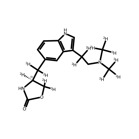 [2H]C([2H])(CN(C([2H])([2H])[2H])C([2H])([2H])[2H])c1c[nH]c2ccc(C([2H])([2H])[C@]3([2H])NC(=O)OC3([2H])[2H])cc12